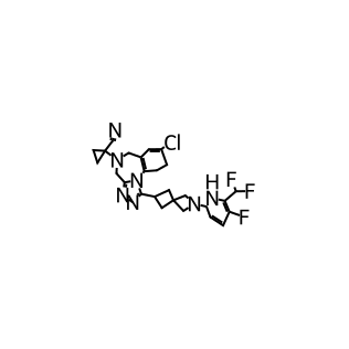 N#CC1(N2CC3=C(CCC(Cl)=C3)n3c(nnc3C3CC4(C3)CN(C3C=CC(F)=C(C(F)F)N3)C4)C2)CC1